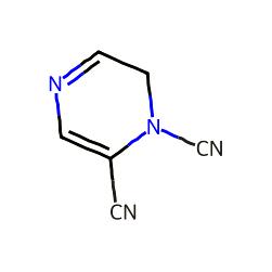 N#CC1=CN=CCN1C#N